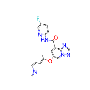 C=N/C=C\C=C(/C)Oc1cc(C(=O)Nc2ccc(F)cn2)c2ncnn2c1